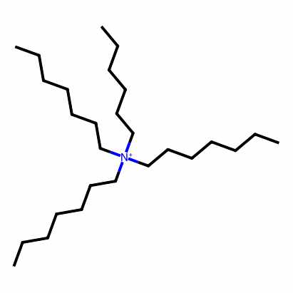 CCCCCCC[N+](CCCCCC)(CCCCCCC)CCCCCCC